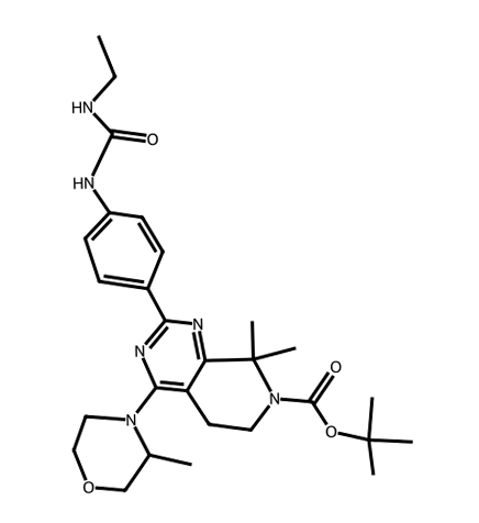 CCNC(=O)Nc1ccc(-c2nc(N3CCOCC3C)c3c(n2)C(C)(C)N(C(=O)OC(C)(C)C)CC3)cc1